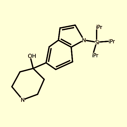 CC(C)[Si](C(C)C)(C(C)C)n1ccc2cc(C3(O)CC[N]CC3)ccc21